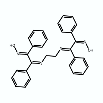 ON=C(C(=NCCN=C(C(=NO)c1ccccc1)c1ccccc1)c1ccccc1)c1ccccc1